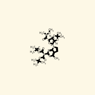 CON(C)C(=O)[C@H]1O[C@@H](n2ccc3c(C)nc(N(C(=O)OC(C)(C)C)C(=O)OC(C)(C)C)nc32)[C@@H]2OC(C)(C)O[C@@H]21